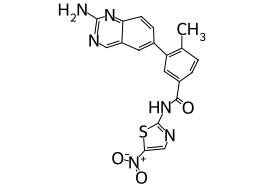 Cc1ccc(C(=O)Nc2ncc([N+](=O)[O-])s2)cc1-c1ccc2nc(N)ncc2c1